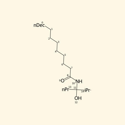 CCCCCCCCCCCCCCCCCC(=O)NC(O)(CCC)[C](C)C